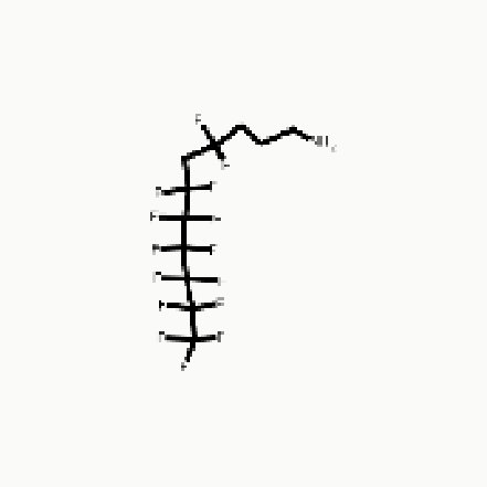 NCCCC(F)(F)CC(F)(F)C(F)(F)C(F)(F)C(F)(F)C(F)(F)C(F)(F)F